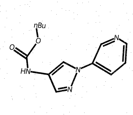 CCCCOC(=O)Nc1cnn(-c2cccnc2)c1